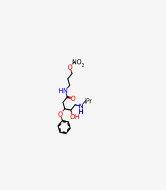 CC(C)NCC(O)C(CC(=O)NCCCO[N+](=O)[O-])Oc1ccccc1